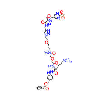 CC(C)(C)C(=O)OCc1ccc(NC(=O)[C@H](CCCCN)NC(=O)COCC(=O)NCCCOCCn2cc(CNC(=O)c3coc(-c4cnc(S(C)(=O)=O)nc4)n3)nn2)cc1